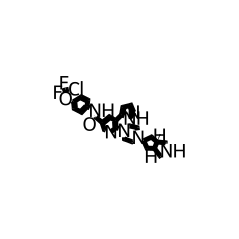 O=C(Nc1ccc(OC(F)(F)Cl)cc1)c1cnc(N2CCN(C3C[C@H]4CNC[C@H]4C3)CC2)c(-c2ccn[nH]2)c1